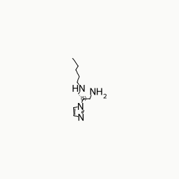 CCCCCNC[C@H](CN)n1ccnc1